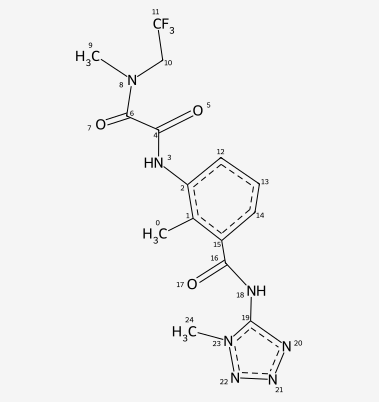 Cc1c(NC(=O)C(=O)N(C)CC(F)(F)F)cccc1C(=O)Nc1nnnn1C